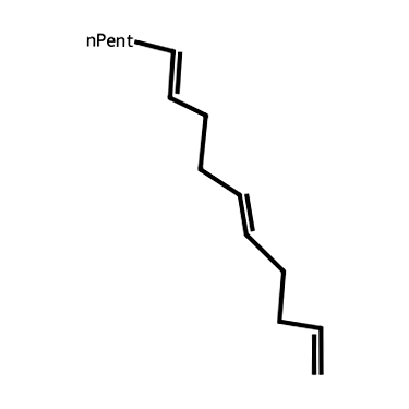 C=CCCC=CCCC=CCCCCC